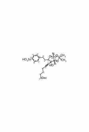 CCCCCCCCCCCCCC#C[C@@]1(O)C(CCc2ccc(S(=O)(=O)O)cc2)O[C@@H]2OC(C)(C)O[C@@H]21